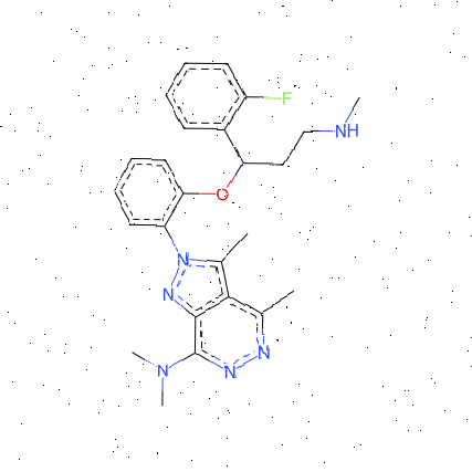 CNCCC(Oc1ccccc1-n1nc2c(N(C)C)nnc(C)c2c1C)c1ccccc1F